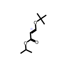 CC(C)OC(=O)/C=C/OC(C)(C)C